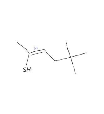 C/C(S)=C/CC(C)(C)C